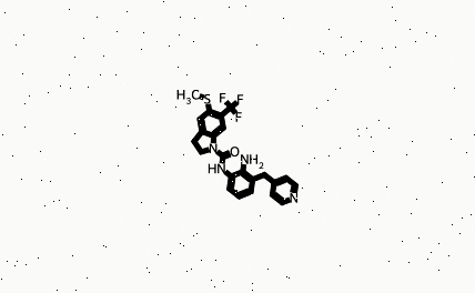 CSc1cc2c(cc1C(F)(F)F)N(C(=O)Nc1cccc(Cc3ccncc3)c1N)CC2